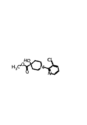 COC(=O)C1(O)CCN(c2ncccc2Cl)CC1